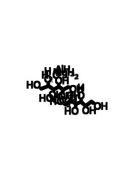 O.O=C(O)O.OCC(O)C(O)C(O)C(O)CO.OCC(O)C(O)C(O)C(O)CO.[AlH3].[MgH2]